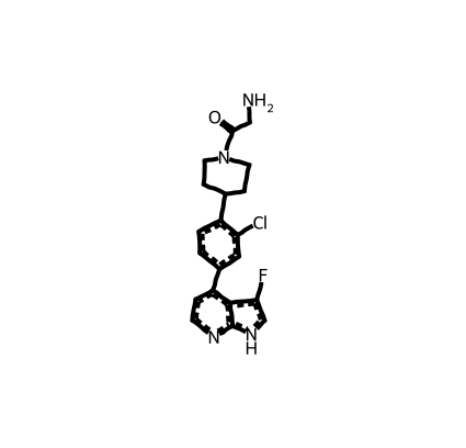 NCC(=O)N1CCC(c2ccc(-c3ccnc4[nH]cc(F)c34)cc2Cl)CC1